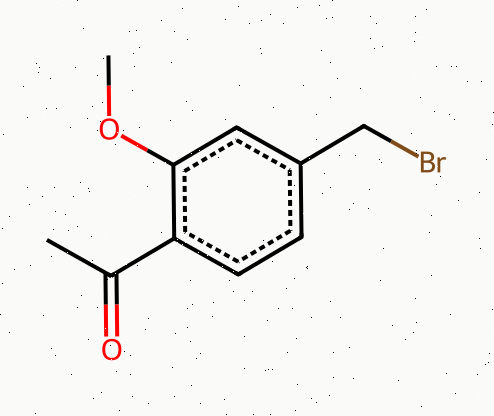 COc1cc(CBr)ccc1C(C)=O